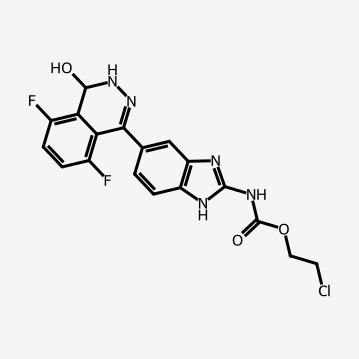 O=C(Nc1nc2cc(C3=NNC(O)c4c(F)ccc(F)c43)ccc2[nH]1)OCCCl